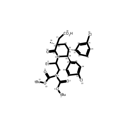 CCC(CN(C(=O)OC(C)(C)C)C(=O)OC(C)(C)C)N1C(=O)[C@@](C)(CC(=O)O)C[C@H](c2cccc(Cl)c2)[C@H]1c1ccc(Cl)cc1